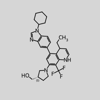 CCC1C=CNc2c1c(-c1ccc3c(c1)ncn3C1CCCCC1)cc(N1CC[C@H](CO)C1)c2C(F)(F)F